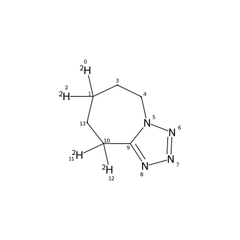 [2H]C1([2H])CCn2nnnc2C([2H])([2H])C1